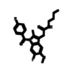 CCCCNC(=O)Cc1c(C)n(C(=O)c2ccc(F)cc2)c2cc(F)c(OC)cc12